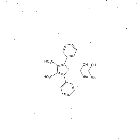 CC(C)(C)CO.CC(C)(C)CO.O=C(O)c1c(-c2ccccc2)sc(-c2ccccc2)c1C(=O)O